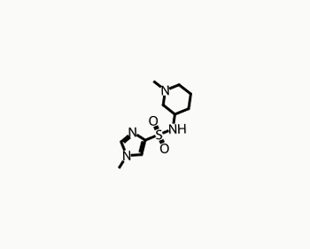 CN1CCCC(NS(=O)(=O)c2cn(C)cn2)C1